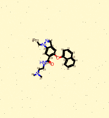 CC(C)Cn1ncc2cc(Oc3cccc4ccccc34)c(C(=O)NCCN(C)C)cc21